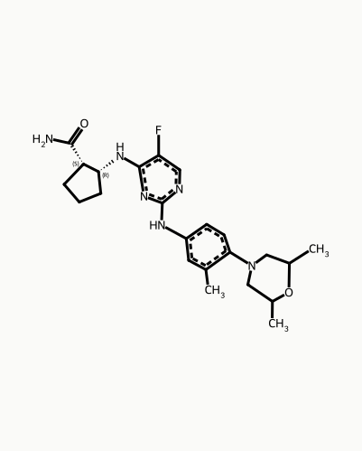 Cc1cc(Nc2ncc(F)c(N[C@@H]3CCC[C@@H]3C(N)=O)n2)ccc1N1CC(C)OC(C)C1